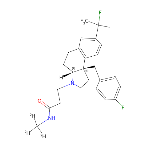 [2H]C([2H])([2H])NC(=O)CCN1CC[C@@]2(Cc3ccc(F)cc3)c3ccc(C(C)(F)C(F)(F)F)cc3CC[C@@H]12